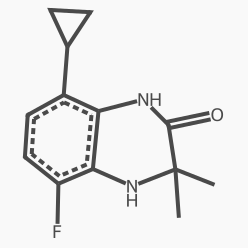 CC1(C)Nc2c(F)ccc(C3CC3)c2NC1=O